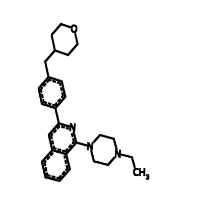 CCN1CCN(c2nc(-c3ccc(CC4CCOCC4)cc3)cc3ccccc23)CC1